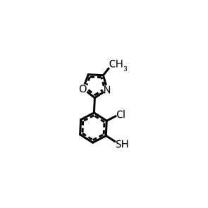 Cc1coc(-c2cccc(S)c2Cl)n1